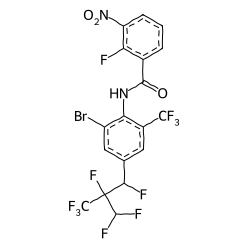 O=C(Nc1c(Br)cc(C(F)C(F)(C(F)F)C(F)(F)F)cc1C(F)(F)F)c1cccc([N+](=O)[O-])c1F